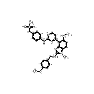 CNc1ccc2c(nc(NCc3ccc(OC)cc3)n2C)c1-c1ccnc(Nc2ccc(CS(C)(=O)=O)cc2)n1